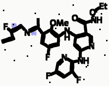 C=C/C(F)=C\N=C(/C)c1cc(F)cc(Nc2cc(Nc3ncc(F)cc3F)ncc2C(=O)NOCC)c1OC